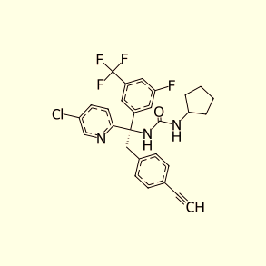 C#Cc1ccc(C[C@@](NC(=O)NC2CCCC2)(c2cc(F)cc(C(F)(F)F)c2)c2ccc(Cl)cn2)cc1